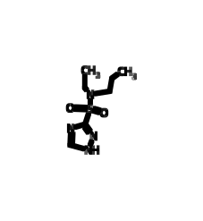 CCCN(CC)S(=O)(=O)c1nc[nH]n1